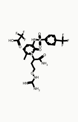 Cc1ccc(NS(=O)(=O)c2ccc(C(F)(F)F)cc2)c(=O)n1C(CCONC(=N)N)C(N)=O.O=C(O)C(F)(F)F